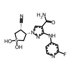 N#C[C@H]1CS(O)(O)C[C@H]1n1cc(C(N)=O)c(Nc2ccnc(F)c2)n1